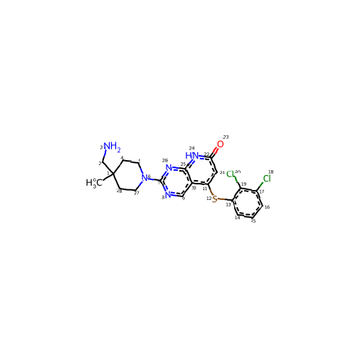 CC1(CN)CCN(c2ncc3c(Sc4cccc(Cl)c4Cl)cc(=O)[nH]c3n2)CC1